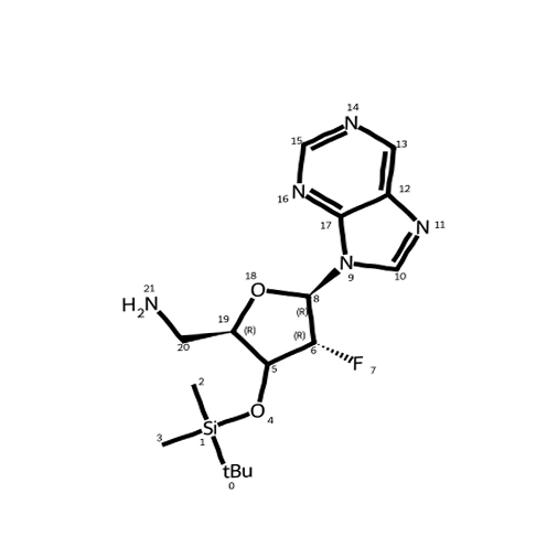 CC(C)(C)[Si](C)(C)OC1[C@@H](F)[C@H](n2cnc3cncnc32)O[C@@H]1CN